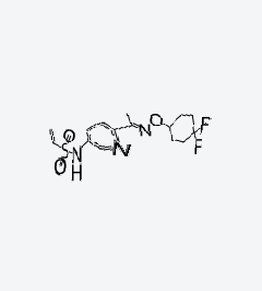 C=CS(=O)(=O)Nc1ccc(/C(C)=N/OC2CCC(F)(F)CC2)nc1